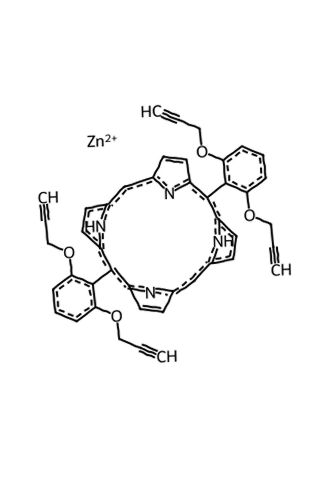 C#CCOc1cccc(OCC#C)c1-c1c2nc(cc3ccc([nH]3)c(-c3c(OCC#C)cccc3OCC#C)c3nc(cc4ccc1[nH]4)C=C3)C=C2.[Zn+2]